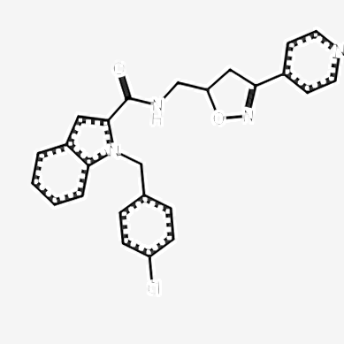 O=C(NCC1CC(c2ccncc2)=NO1)c1cc2ccccc2n1Cc1ccc(Cl)cc1